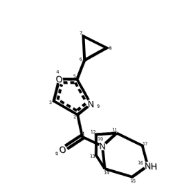 O=C(c1coc(C2CC2)n1)N1C2CCC1CNC2